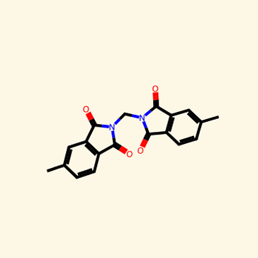 Cc1ccc2c(c1)C(=O)N(CN1C(=O)c3ccc(C)cc3C1=O)C2=O